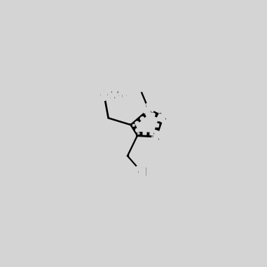 COCc1c(CCl)nnn1C